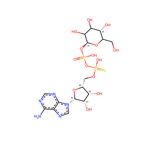 Nc1ncnc2c1ncn2[C@@H]1O[C@H](COP(O)(=S)OP(=O)(O)O[C@@H]2OC(CO)[C@@H](O)C(O)C2O)[C@H](O)[C@@H]1O